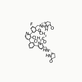 COc1cc(-c2nccc(-c3cccc(-c4ccc(CNC[C@@H]5CCC(=O)N5)c(OC)n4)c3Cl)c2Cl)cc(F)c1CNC[C@@H]1CCC(=O)N1